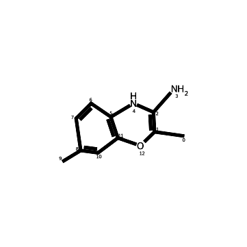 CC1=C(N)Nc2ccc(C)cc2O1